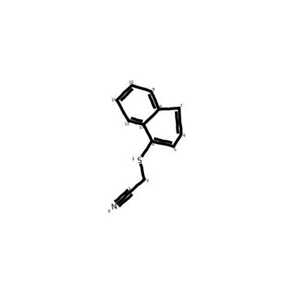 N#CCSc1cccc2ccccc12